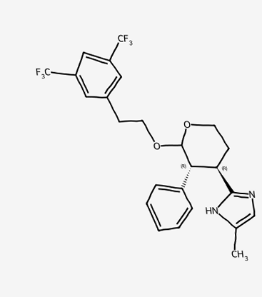 Cc1cnc([C@@H]2CCOC(OCCc3cc(C(F)(F)F)cc(C(F)(F)F)c3)[C@H]2c2ccccc2)[nH]1